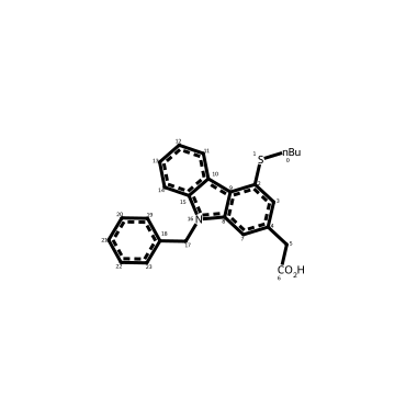 CCCCSc1cc(CC(=O)O)cc2c1c1ccccc1n2Cc1ccccc1